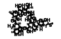 CSCC[C@H](NC(=O)[C@@H]1CCCN1C(=O)[C@H](CCC(=O)O)NC(=O)C(C)(C)NC(=O)[C@@H](NC(=O)[C@H](CO)NC(=O)[C@H](CC(C)C)NC(=O)[C@@H](N)Cc1c[nH]c2ccccc12)[C@@H](C)O)C(=O)O